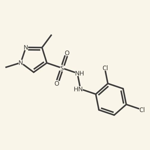 Cc1nn(C)cc1S(=O)(=O)NNc1ccc(Cl)cc1Cl